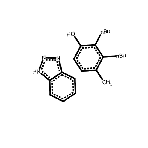 CCCCc1c(C)ccc(O)c1CCCC.c1ccc2[nH]nnc2c1